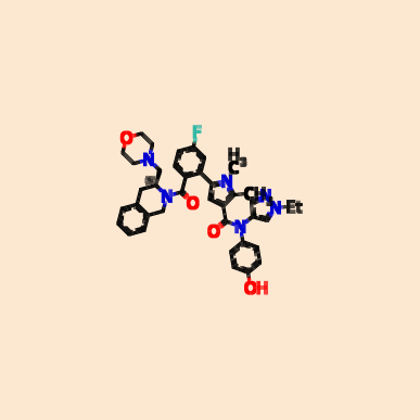 CCn1cc(N(C(=O)c2cc(-c3cc(F)ccc3C(=O)N3Cc4ccccc4C[C@H]3CN3CCOCC3)n(C)c2C)c2ccc(O)cc2)cn1